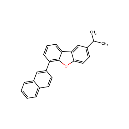 CC(C)c1ccc2oc3c(-c4ccc5ccccc5c4)cccc3c2c1